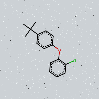 CC(C)(C)c1ccc(Oc2ccccc2Cl)cc1